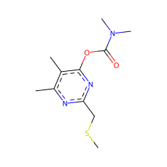 CSCc1nc(C)c(C)c(OC(=O)N(C)C)n1